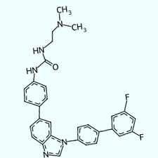 CN(C)CCNC(=O)Nc1ccc(-c2ccc3ncn(-c4ccc(-c5cc(F)cc(F)c5)cc4)c3c2)cc1